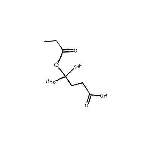 CCC(=O)OC([SeH])([SeH])CCC(=O)O